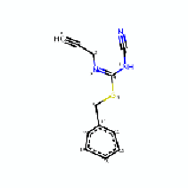 C#CCN=C(NC#N)SCc1ccccc1